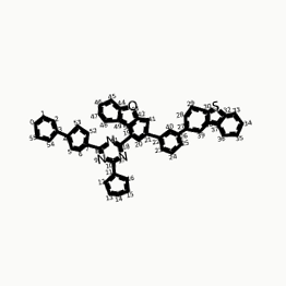 c1ccc(-c2ccc(-c3nc(-c4ccccc4)nc(-c4cc(-c5cccc(-c6ccc7sc8ccccc8c7c6)c5)cc5oc6ccccc6c45)n3)cc2)cc1